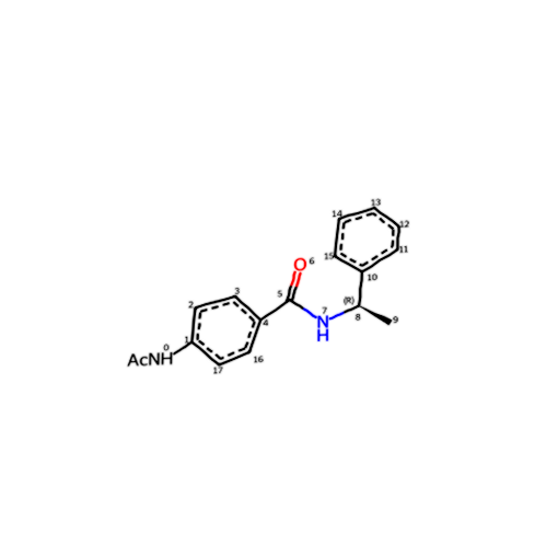 CC(=O)Nc1ccc(C(=O)N[C@H](C)c2ccccc2)cc1